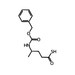 CC(CCC(=O)S)NC(=O)OCc1ccccc1